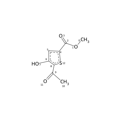 COC(=O)c1cc(O)c(C(C)=O)s1